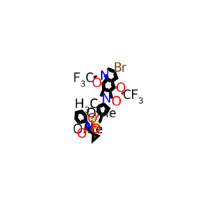 COc1cccc(OC)c1N(C(=O)C1CC1)S(=O)(=O)Cc1ccc(N2Cc3c(c(OCC(F)(F)F)c4cc(Br)cnc4c3OCC(F)(F)F)C2=O)c(C)c1